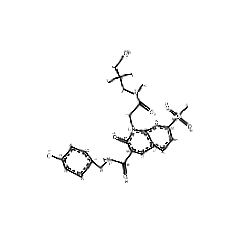 CN(CC(C)(C)CO)C(=O)Cn1c(=O)c(C(=O)NCc2ccc(Cl)cc2)cc2ccc(S(C)(=O)=O)nc21